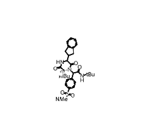 CC[C@@H](C)[C@@H]1C(=O)NC(C2Cc3ccccc3C2)C(=O)N1C(C(=O)NC(C)(C)C)c1ccc(S(=O)(=O)NC)cc1